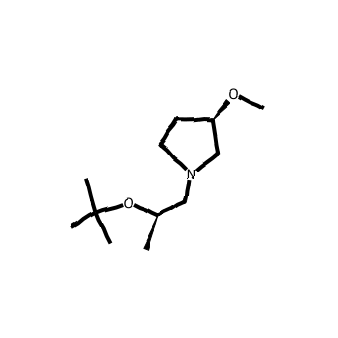 CO[C@@H]1CCN(C[C@@H](C)OC(C)(C)C)C1